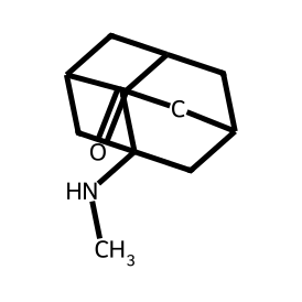 CNC12CC3CC(=O)C(CC(C3)C1)C2